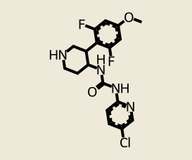 COc1cc(F)c(C2CNCCC2NC(=O)Nc2ccc(Cl)cn2)c(F)c1